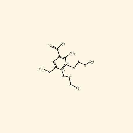 CCc1cc(C(=O)O)c(N)c(CCCO)c1CCCO